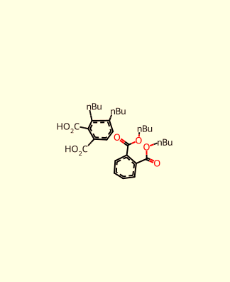 CCCCOC(=O)c1ccccc1C(=O)OCCCC.CCCCc1ccc(C(=O)O)c(C(=O)O)c1CCCC